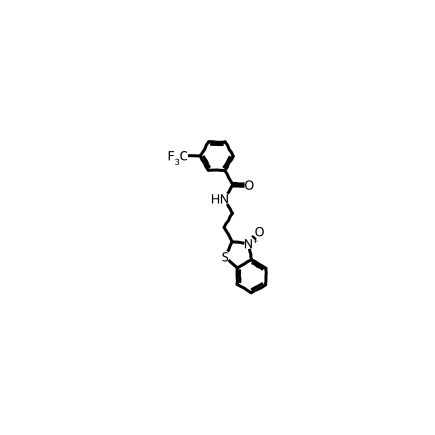 O=C(NCCC1Sc2ccccc2[N+]1=O)c1cccc(C(F)(F)F)c1